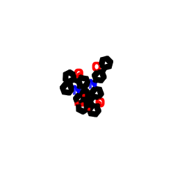 c1ccc(N(c2ccccc2)c2cc(N(c3ccc4c(c3)C3(c5ccccc5O4)c4ccccc4-c4ccccc43)c3ccc4c(c3)oc3ccccc34)cc3oc4ccccc4c23)cc1